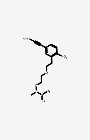 CCCCCCC#Cc1ccc([N+](=O)[O-])c(CCOCCOP(C)N(C(C)C)C(C)C)c1